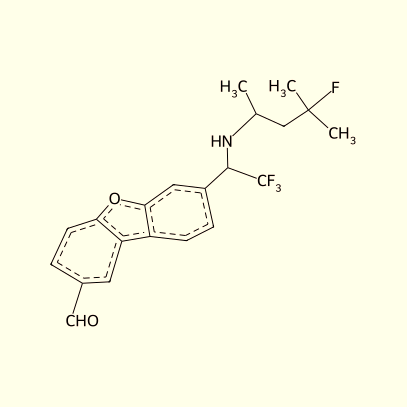 CC(CC(C)(C)F)NC(c1ccc2c(c1)oc1ccc(C=O)cc12)C(F)(F)F